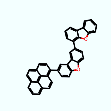 c1cc2ccc3ccc(-c4ccc5oc6ccc(-c7cccc8c7oc7ccccc78)cc6c5c4)c4ccc(c1)c2c34